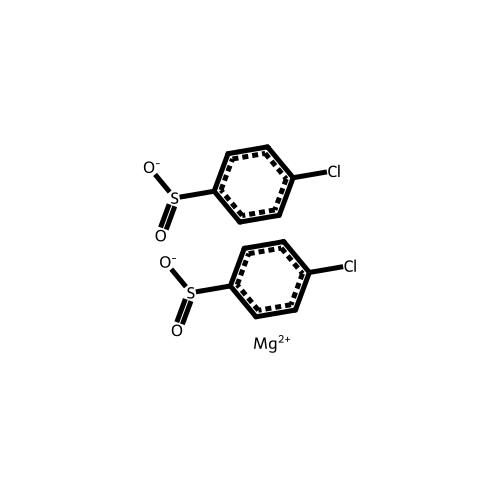 O=S([O-])c1ccc(Cl)cc1.O=S([O-])c1ccc(Cl)cc1.[Mg+2]